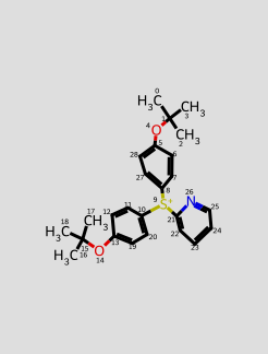 CC(C)(C)Oc1ccc([S+](c2ccc(OC(C)(C)C)cc2)c2ccccn2)cc1